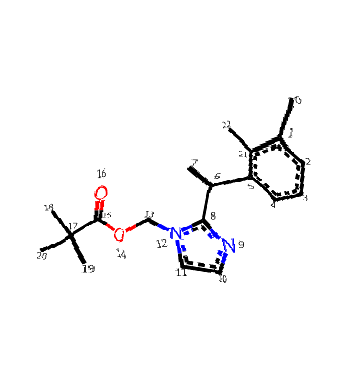 Cc1cccc(C(C)c2nccn2COC(=O)C(C)(C)C)c1C